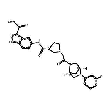 CNC(=O)c1n[nH]c2ccc(NC(=O)[C@@H]3CCN(CC(=O)N4C[C@@H]5C[C@H]4CN5c4cccc(F)c4)C3)cc12